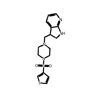 O=S(=O)(c1ccsc1)N1CCN(CC2CNc3ncccc32)CC1